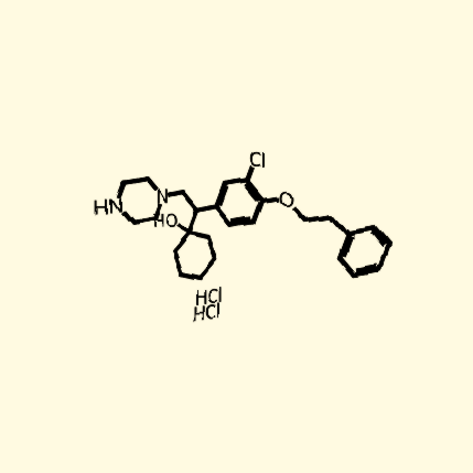 Cl.Cl.OC1(C(CN2CCNCC2)c2ccc(OCCc3ccccc3)c(Cl)c2)CCCCC1